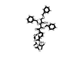 CC(C)[Si](Nc1ncnn2c(C(=O)C(OCc3ccccc3)C(OCc3ccccc3)C(O)COCc3ccccc3)ccc12)(C(C)C)C(C)C